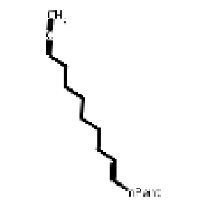 C=C=CCCCCCCC=CCCCCC